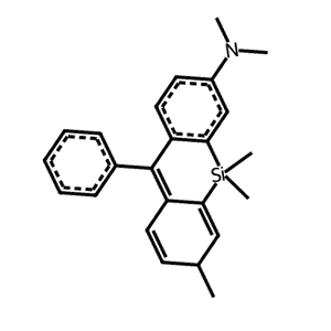 CC1C=CC2=C(c3ccccc3)c3ccc(N(C)C)cc3[Si](C)(C)C2=C1